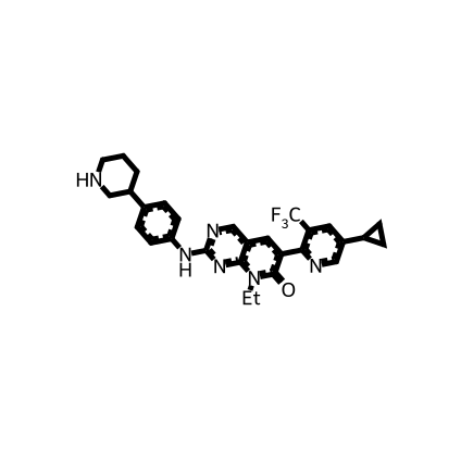 CCn1c(=O)c(-c2ncc(C3CC3)cc2C(F)(F)F)cc2cnc(Nc3ccc(C4CCCNC4)cc3)nc21